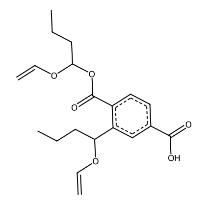 C=COC(CCC)OC(=O)c1ccc(C(=O)O)cc1C(CCC)OC=C